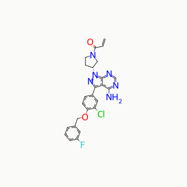 C=CC(=O)N1CC[C@@H](n2nc(-c3ccc(OCc4cccc(F)c4)c(Cl)c3)c3c(N)ncnc32)C1